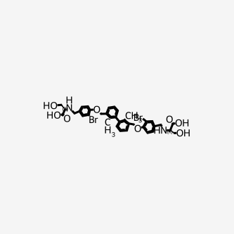 Cc1c(COc2ccc(CN[C@H](CO)C(=O)O)cc2Br)cccc1-c1cccc(COc2ccc(CN[C@H](CO)C(=O)O)cc2Br)c1C